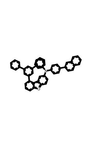 c1ccc(-c2cc(-c3ccccc3)cc(-c3cccc4oc5ccc(N(c6ccccc6)c6ccc(-c7ccc8ccccc8c7)cc6)cc5c34)c2)cc1